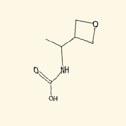 CC(NC(=O)O)C1COC1